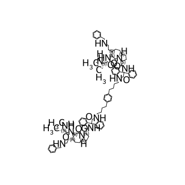 CC[C@H](NC)C(=O)N[C@@H]1C(=O)N2[C@@H](CC[C@@H]1CCNCc1ccccc1)CC[C@H]2C(=O)NC(C(=O)NCCCCc1ccc(CCCCNC(=O)C(NC(=O)[C@@H]2CC[C@@H]3CC[C@H](CCNCc4ccccc4)[C@H](NC(=O)[C@H](CC)NC)C(=O)N32)(c2ccccc2)c2ccccc2)cc1)(c1ccccc1)c1ccccc1